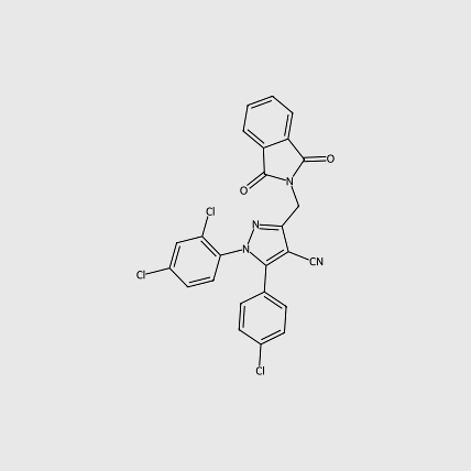 N#Cc1c(CN2C(=O)c3ccccc3C2=O)nn(-c2ccc(Cl)cc2Cl)c1-c1ccc(Cl)cc1